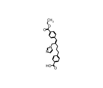 CCOC(=O)c1ccc(C=C(CCCc2ccc(C(=O)O)cc2)Cn2ccnc2)cc1